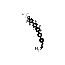 CCCCc1ccc(C2CCC(c3cc4oc5cc(-c6ccc(OCC)c(F)c6F)c(F)c(F)c5c4c(F)c3F)CC2)cc1